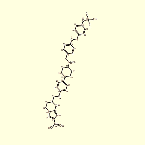 CN(Cc1ccc(OCc2ccc(OC(F)(F)F)cc2)cc1)C1CCN(c2ccc(OCC3CCn4cc([N+](=O)[O-])nc4O3)cc2)CC1